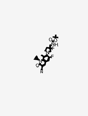 Cc1c(N2CCC(F)(CNC(=O)OC(C)(C)C)C2)c(F)cc2cc(C#N)c(=O)n(C3CC3)c12